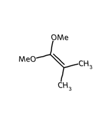 COC(OC)=C(C)C